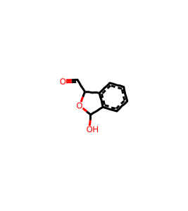 O=CC1OC(O)c2ccccc21